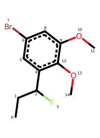 CCC(F)c1cc(Br)cc(OC)c1OC